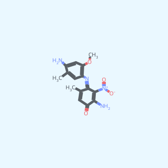 COc1cc(N)c(C)cc1N=C1C(C)=CC(=O)C(N)=C1[N+](=O)[O-]